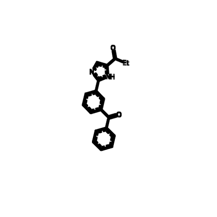 CCC(=O)c1cnc(-c2cccc(C(=O)c3ccccc3)c2)[nH]1